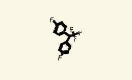 Fc1ccc(C(c2ccc(F)cc2)C(F)(F)F)cc1